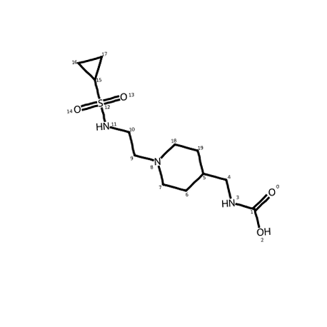 O=C(O)NCC1CCN(CCNS(=O)(=O)C2CC2)CC1